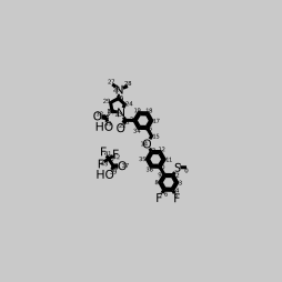 CSc1cc(F)c(F)cc1-c1ccc(OCc2cccc(C(=O)N3C[C@H](N(C)C)C[C@H]3C(=O)O)c2)cc1.O=C(O)C(F)(F)F